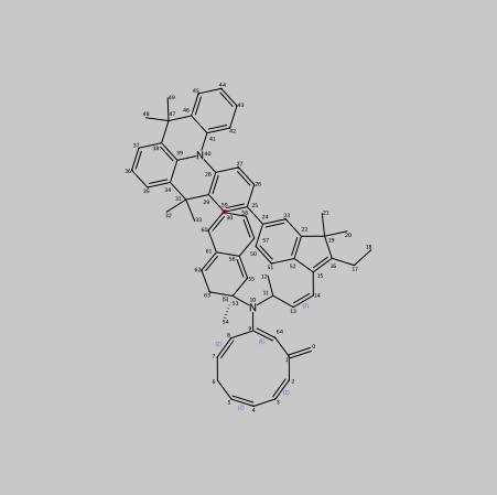 C=C1/C=C\C=C/C/C=C\C(N(C(C)/C=C\C2=C(CC)C(C)(C)c3cc(-c4ccc5c(c4)C(C)(C)c4cccc6c4N5c4ccccc4C6(C)C)ccc32)[C@]2(C)C=c3ccccc3=CC2)=C/1